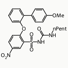 CCCCCNC(=O)NS(=O)(=O)c1cc([N+](=O)[O-])ccc1Oc1ccccc1-c1ccc(OC)cc1